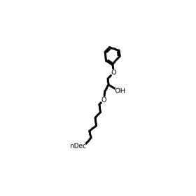 CCCCCCCCCCCCCCCCOCC(O)COc1ccccc1